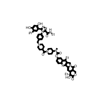 CCNC(=O)c1nnc(-c2cc(C(C)C)c(O)cc2O)n1-c1ccc(CN2CCC(C(=O)N3CCC(N(C)C(=O)Oc4ccc5nc6c(c(CC)c5c4)Cn4c-6cc5c(c4=O)COC(=O)[C@]5(O)CC)CC3)CC2)cc1